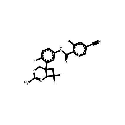 Cc1cc(C#N)cnc1C(=O)Nc1ccc(F)c(C23CSC(N)=NC2C(F)(F)C3)c1